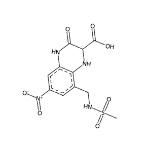 CS(=O)(=O)NCc1cc([N+](=O)[O-])cc2c1NC(C(=O)O)C(=O)N2